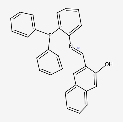 Oc1cc2ccccc2cc1/C=N/c1ccccc1P(c1ccccc1)c1ccccc1